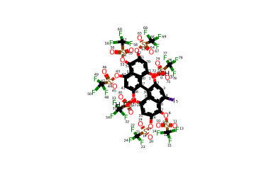 COc1cc(I)c2c(OS(=O)(=O)C(F)(F)F)c(OS(=O)(=O)C(F)(F)F)cc(OS(=O)(=O)C(F)(F)F)c2c1-c1c(OC)cc(OS(=O)(=O)C(F)(F)F)c2c(OS(=O)(=O)C(F)(F)F)c(OS(=O)(=O)C(F)(F)F)cc(OS(=O)(=O)C(F)(F)F)c12